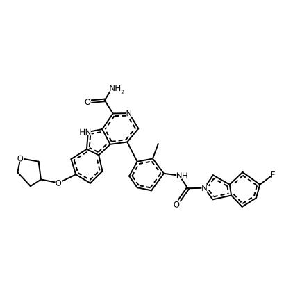 Cc1c(NC(=O)n2cc3ccc(F)cc3c2)cccc1-c1cnc(C(N)=O)c2[nH]c3cc(OC4CCOC4)ccc3c12